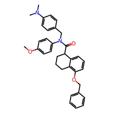 COc1ccc(N(Cc2ccc(N(C)C)cc2)C(=O)C2CCCc3c(OCc4ccccc4)cccc32)cc1